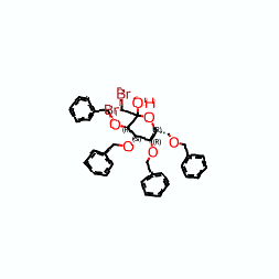 OC1(C(Br)Br)O[C@H](COCc2ccccc2)[C@@H](OCc2ccccc2)[C@H](OCc2ccccc2)[C@H]1OCc1ccccc1